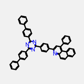 c1ccc(-c2ccc(-c3nc(-c4ccc(-c5ccccc5)cc4)nc(-c4ccc(-c5cc(-c6ccccc6)c6c(ccc7ccccc76)n5)cc4)n3)cc2)cc1